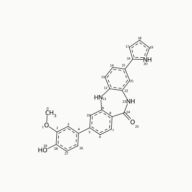 COc1cc(-c2ccc3c(c2)Nc2ccc(-c4ccc[nH]4)cc2NC3=O)ccc1O